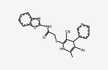 CC(=O)C1=C(C)NC(SCC(=O)Nc2nc3ccccc3s2)=C(C#N)C1c1cccnc1